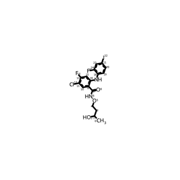 CC(O)CCONC(=O)c1cc(Cl)c(F)cc1Nc1ccc(I)cc1F